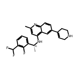 Cc1cc(N[C@H](C)c2cccc(C(F)F)c2F)c2cc(C3=CCNCC3)ccc2n1